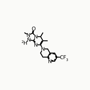 [2H]N1C2=NC(N3CCc4ncc(C(F)(F)F)cc4C3)=C(C)C(C)N2C(=O)N1C